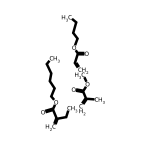 C=C(C)C(=O)OC.C=C(CC)C(=O)OCCCCCC.C=CC(=O)OCCCC